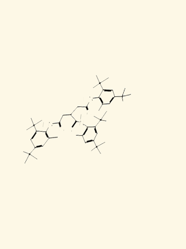 Cc1cc(C(C)(C)C)cc(C(C)(C)C)c1NC(=O)CC(CC(=O)Nc1c(C)cc(C(C)(C)C)cc1C(C)(C)C)C(=O)Nc1c(C)cc(C(C)(C)C)cc1C(C)(C)C